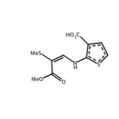 COC(=O)C(=CNc1sccc1C(=O)O)SC